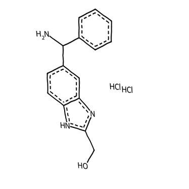 Cl.Cl.NC(c1ccccc1)c1ccc2[nH]c(CO)nc2c1